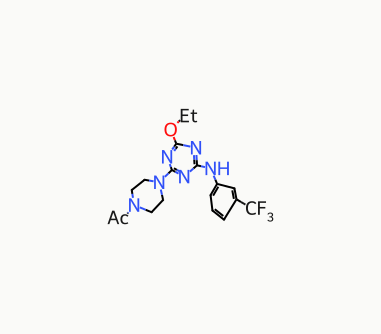 CCOc1nc(Nc2cccc(C(F)(F)F)c2)nc(N2CCN(C(C)=O)CC2)n1